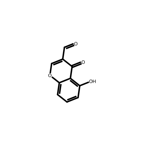 O=Cc1coc2cccc(O)c2c1=O